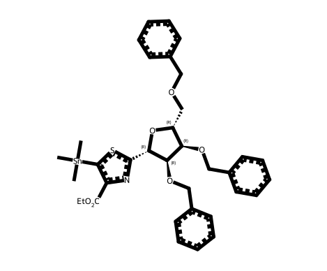 CCOC(=O)c1nc([C@@H]2O[C@H](COCc3ccccc3)[C@@H](OCc3ccccc3)[C@H]2OCc2ccccc2)s[c]1[Sn]([CH3])([CH3])[CH3]